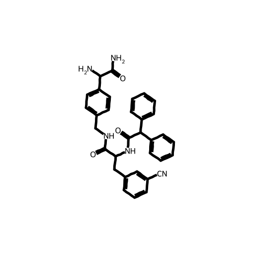 N#Cc1cccc(CC(NC(=O)C(c2ccccc2)c2ccccc2)C(=O)NCc2ccc(C(N)C(N)=O)cc2)c1